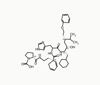 CC(C)[C@@H](CCOc1ccccc1)C[C@H](O)[C@H](CC1CCCCC1)NC(=O)C(Cc1c[nH]cn1)NC(=O)[C@@]1(CCNC(=O)[C@H]2CCCN2C(=O)O)C=CC=CC1